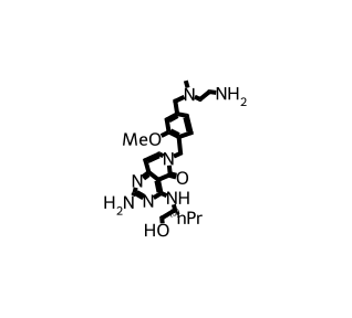 CCC[C@@H](CO)Nc1nc(N)nc2ccn(Cc3ccc(CN(C)CCN)cc3OC)c(=O)c12